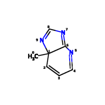 CC12C=CC=NC1=NC=N2